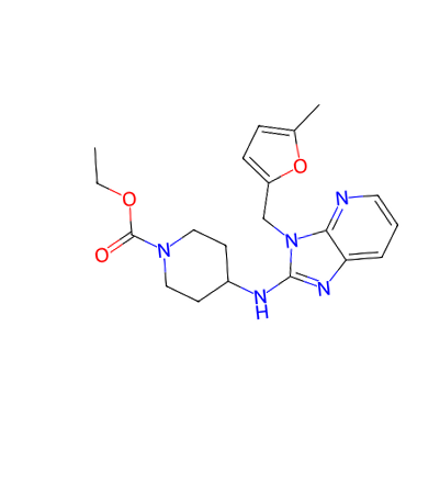 CCOC(=O)N1CCC(Nc2nc3cccnc3n2Cc2ccc(C)o2)CC1